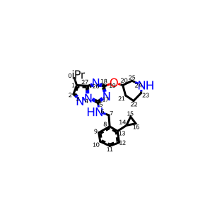 CC(C)c1cnn2c(NCc3ccccc3C3CC3)nc(OC3CCCNC3)nc12